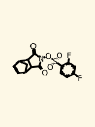 O=C1C2C3C=CC(C3)C2C(=O)N1OS(=O)(=O)c1ccc(F)cc1F